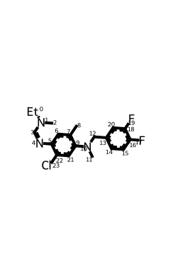 CCN(C)/C=N\c1cc(C)c(N(C)Cc2ccc(F)c(F)c2)cc1Cl